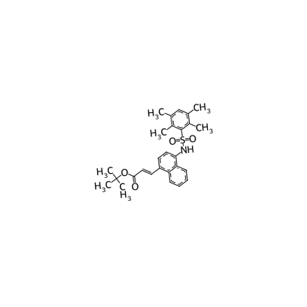 Cc1cc(C)c(C)c(S(=O)(=O)Nc2ccc(C=CC(=O)OC(C)(C)C)c3ccccc23)c1C